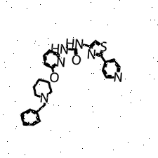 O=C(Nc1cccc(OC2CCCN(Cc3ccccc3)C2)n1)Nc1csc(-c2ccncc2)n1